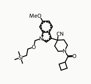 COc1ccc2c(C3(C#N)CCN(C(=O)C4CCC4)CC3)cn(COCC[Si](C)(C)C)c2c1